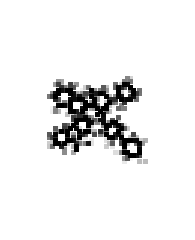 CC1(C)c2ccccc2-c2ccc(N(c3ccc(-c4ccccc4)cc3)c3cc(-c4ccccc4)cc4oc5c6ccccc6ccc5c34)cc21